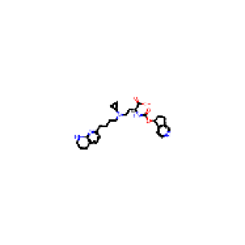 O=C(N[C@@H](CCN(CCCCc1ccc2c(n1)NCCC2)C1CC1)C(=O)O)OC1CCc2cnccc21